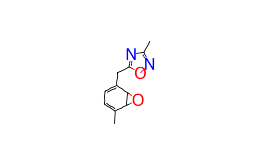 CC1=CC=C(Cc2nc(C)no2)C2OC12